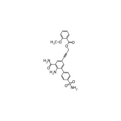 COc1ccccc1C(=O)OCC#Cc1cc(C(N)=O)c(N)c(-c2ccc(S(N)(=O)=O)cc2)c1